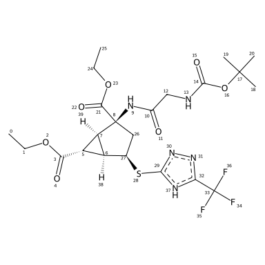 CCOC(=O)[C@H]1[C@H]2[C@@H]1[C@](NC(=O)CNC(=O)OC(C)(C)C)(C(=O)OCC)C[C@H]2Sc1nnc(C(F)(F)F)[nH]1